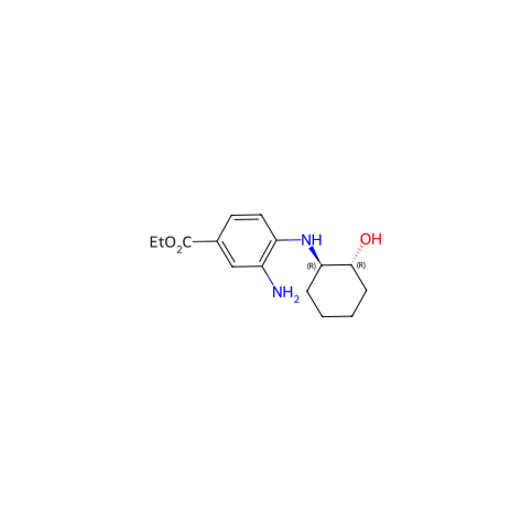 CCOC(=O)c1ccc(N[C@@H]2CCCC[C@H]2O)c(N)c1